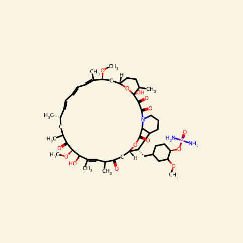 COC1CC(C[C@H]2C3CCCN4C(=O)C(=O)C5(O)O[C@@H](CCC5C)C[C@H](OC)/C(C)=C/C=C/C=C/[C@@H](C)CC(C)C(=O)[C@H](OC)C(O)/C(C)=C/C(C)C(=O)C[C@@H]2OC(=O)C34)CC[C@H]1OP(N)(N)=O